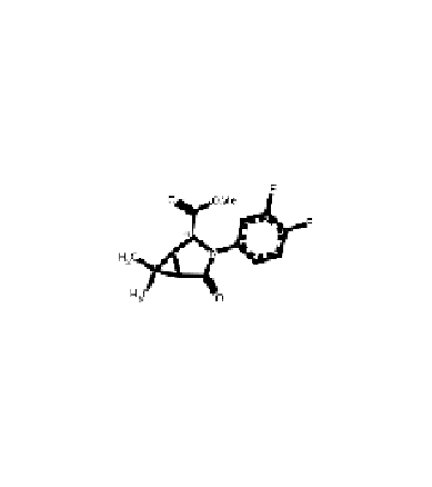 COC(=O)[C@@H]1C2C(C(=O)N1c1ccc(F)c(F)c1)C2(C)C